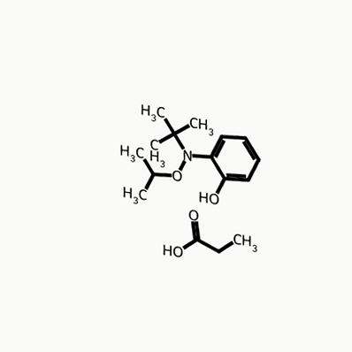 CC(C)ON(c1ccccc1O)C(C)(C)C.CCC(=O)O